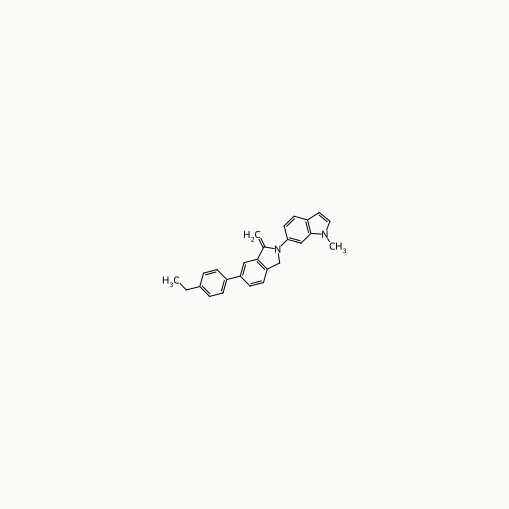 C=C1c2cc(-c3ccc(CC)cc3)ccc2CN1c1ccc2ccn(C)c2c1